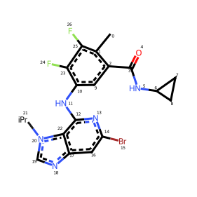 Cc1c(C(=O)NC2CC2)cc(Nc2nc(Br)cc3ncn(C(C)C)c23)c(F)c1F